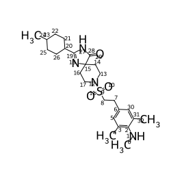 CNc1c(C)cc(CCS(=O)(=O)N2CCC3(CC2)N=C(C2CCC(C)CC2)NC3=O)cc1C